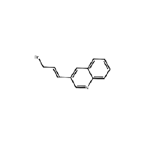 BrCC=Cc1cnc2ccccc2c1